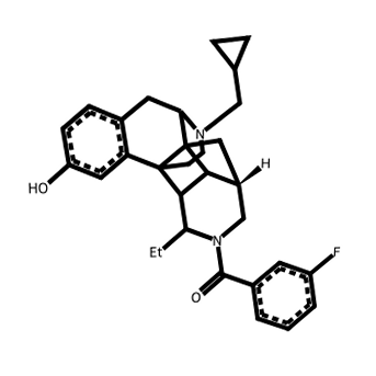 CCC1C2C3[C@@H](CN1C(=O)c1cccc(F)c1)CC31C3Cc4ccc(O)cc4C21CCN3CC1CC1